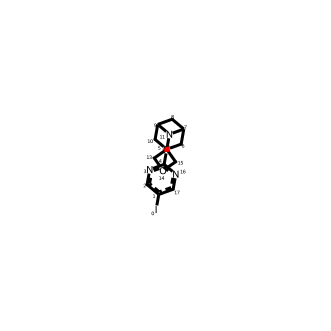 Ic1cnc(N2CC3CC(C2)N3C2COC2)nc1